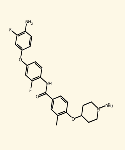 CCCCN1CCC(Oc2ccc(C(=O)Nc3ccc(Oc4ccc(N)c(F)c4)cc3F)cc2C)CC1